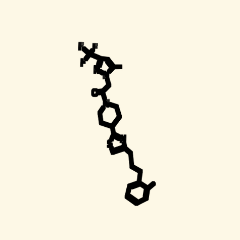 Cc1ccccc1CCCc1csc(C2CCN(C(=O)Cn3nc(C(F)(F)F)cc3C)CC2)n1